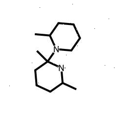 CC1CCCC(C)(N2CCCCC2C)[N]1